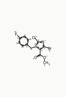 COC(=O)c1c(Br)nc(Cl)n1Cc1ccc(F)cc1